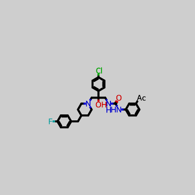 CC(=O)c1cccc(NC(=O)NCC(O)(CN2CCC(Cc3ccc(F)cc3)CC2)c2ccc(Cl)cc2)c1